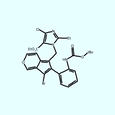 CCOC(=O)c1c(Cl)nc(CC)n1Cc1c2ccocc-2c(Br)c1-c1ccccc1NC(=O)OC(C)(C)C